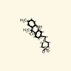 Cc1ccc2c(c1)C(C)(C)c1ccc(CN3CCS(=O)(=O)CC3)cc1N2